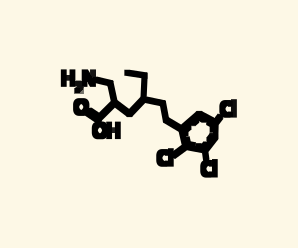 CCC(CCc1cc(Cl)cc(Cl)c1Cl)CC(CN)C(=O)O